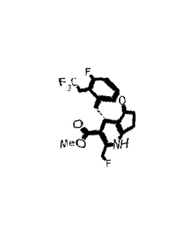 COC(=O)C1=C(CF)NC2=C(C(=O)CC2)[C@H]1Cc1cccc(F)c1CC(F)(F)F